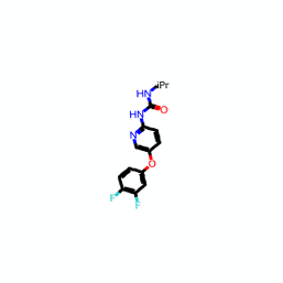 CC(C)NC(=O)Nc1ccc(Oc2ccc(F)c(F)c2)cn1